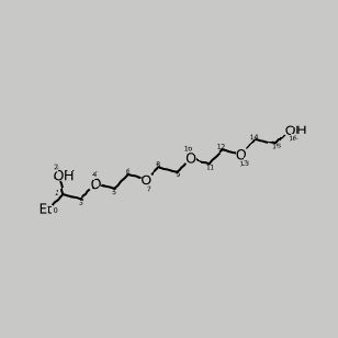 CCC(O)COCCOCCOCCOCCO